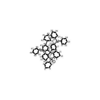 O=P1(c2ccccc2)c2ccccc2C(c2ccc(N(c3ccccc3)c3ccccc3)cc2)(c2cc(-c3ccccc3)cc(-c3ccccc3)n2)c2ccccc21